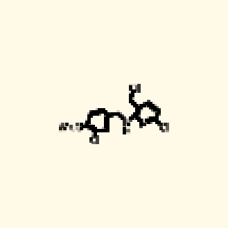 COc1ccc(CNc2nc(Cl)ccc2CO)cc1Cl